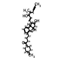 CC#CC[C@@H](C)[C@H](O)C=C[C@@H]1[C@H]2c3cccc(CCCC(=O)N4CCN(C)CC4)c3O[C@H]2C[C@H]1O